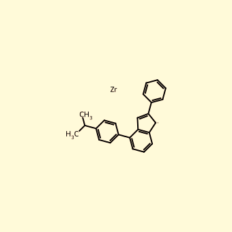 CC(C)c1ccc(-c2cccc3c2C=C(c2ccccc2)[CH]3)cc1.[Zr]